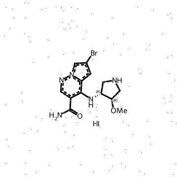 CO[C@@H]1CNC[C@H]1Nc1c(C(N)=O)cnn2cc(Br)cc12.I